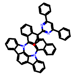 c1ccc(-c2cc(-c3ccccc3)nc(-c3ccc(-n4c5ccccc5c5ccc6c7ccccc7n(-c7cccc8ccccc78)c6c54)c4ccccc34)n2)cc1